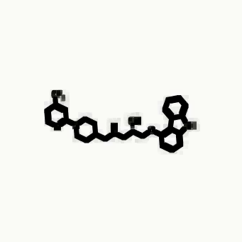 O[C@@H](CNCC1CCN(c2cc(C(F)(F)F)ccn2)CC1)COc1cccc2[nH]c3ccccc3c12